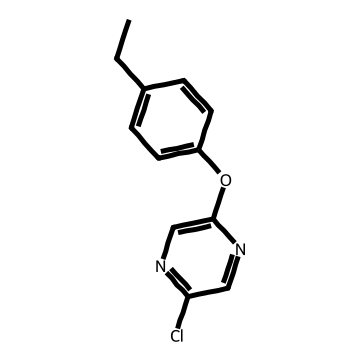 CCc1ccc(Oc2cnc(Cl)cn2)cc1